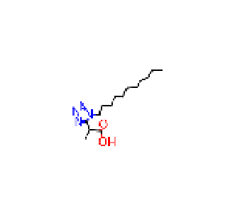 CCCCCCCCCCCn1nnnc1C(C)C(=O)O